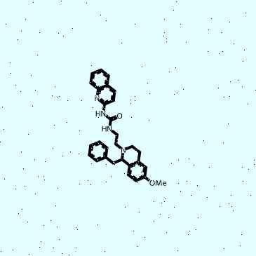 COc1ccc2c(c1)CCN(CCNC(=O)Nc1ccc3ccccc3n1)C2Cc1ccccc1